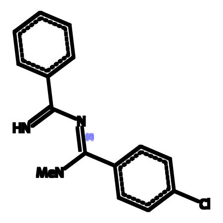 CN/C(=N\C(=N)c1ccccc1)c1ccc(Cl)cc1